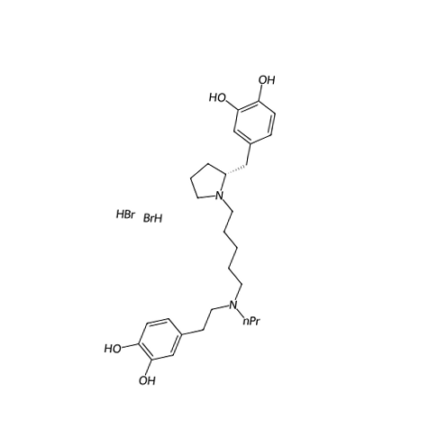 Br.Br.CCCN(CCCCCN1CCC[C@@H]1Cc1ccc(O)c(O)c1)CCc1ccc(O)c(O)c1